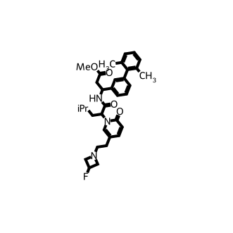 COC(=O)CC(NC(=O)C(CC(C)C)n1cc(CCN2CC(F)C2)ccc1=O)c1cccc(-c2c(C)cccc2C)c1